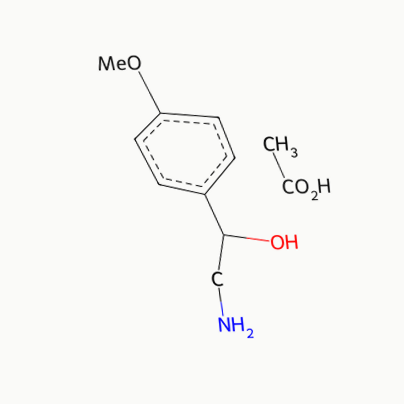 CC(=O)O.COc1ccc(C(O)CN)cc1